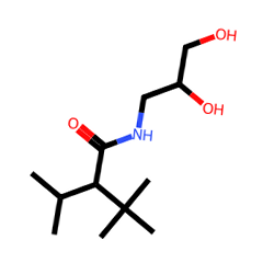 CC(C)C(C(=O)NCC(O)CO)C(C)(C)C